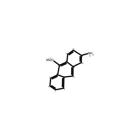 COc1c2ccccc2cc2cc(N)ccc12